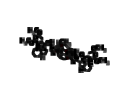 COCC[C@H](NC(=O)OC)C(=O)N1[C@H](c2nc3cc(-c4cc5ccc4C[C@@H](C)c4ccc(c(-c6ccc7[nH]c([C@@H]8C[C@@H]9CCCC[C@@H]9N8C(=O)[C@H](CCOC)NC(=O)OC)nc7c6)c4)CC5)ccc3[nH]2)C[C@@H]2CCCCC[C@@H]21